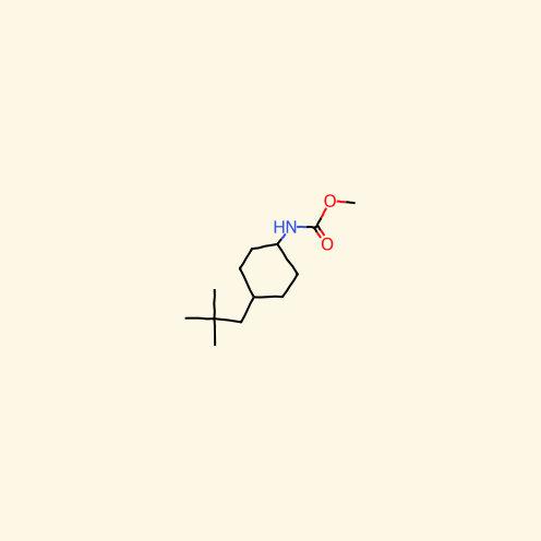 COC(=O)NC1CCC(CC(C)(C)C)CC1